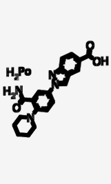 NC(=O)c1cc(-n2cc3cc(C(=O)O)ccc3n2)ccc1N1CCCCC1.[PoH2]